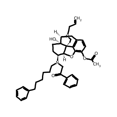 C=CCN1CC[C@]23c4c5ccc(OC(C)=O)c4O[C@H]2[C@@H](N(CCCCCCc2ccccc2)CC(=O)c2ccccc2)CC[C@@]3(O)[C@H]1C5